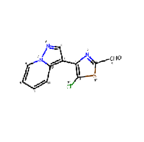 O=Cc1nc(-c2cnn3ccccc23)c(Cl)s1